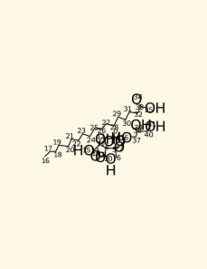 CC(=O)OC(C(C)=O)(C(=O)O)C(O)C(=O)O.CCCCCCCCCCCCCCCCCC(=O)O.OCC(O)CO